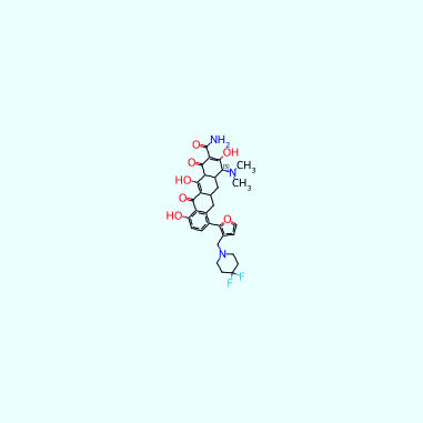 CN(C)[C@@H]1C(O)=C(C(N)=O)C(=O)C2C(O)=C3C(=O)c4c(O)ccc(-c5occc5CN5CCC(F)(F)CC5)c4CC3CC21